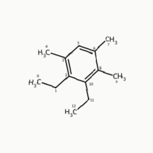 CCc1c(C)cc(C)c(C)c1CC